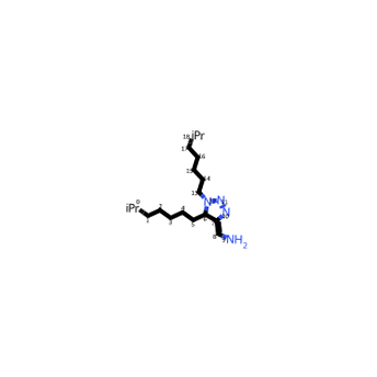 CC(C)CCCCCC1C(=CN)N=NN1CCCCCC(C)C